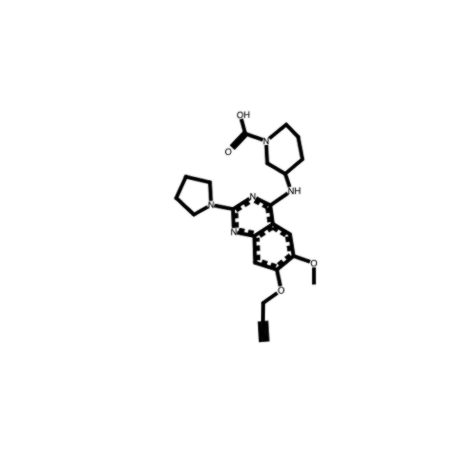 C#CCOc1cc2nc(N3CCCC3)nc(NC3CCCN(C(=O)O)C3)c2cc1OC